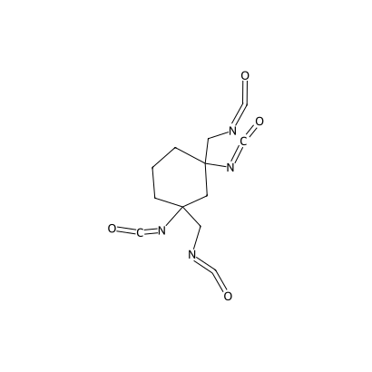 O=C=NCC1(N=C=O)CCCC(CN=C=O)(N=C=O)C1